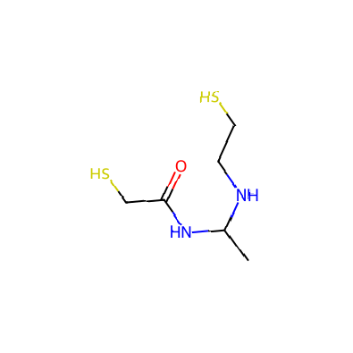 CC(NCCS)NC(=O)CS